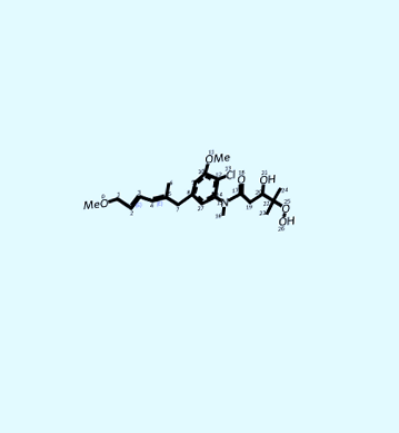 COC/C=C/C=C(\C)Cc1cc(OC)c(Cl)c(N(C)C(=O)CC(O)C(C)(C)OO)c1